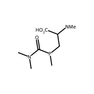 CNC(CP(C)C(=O)N(C)C)C(=O)O